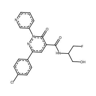 O=C(NC(CO)CF)c1cc(-c2ccc(Cl)cc2)nn(-c2cccnc2)c1=O